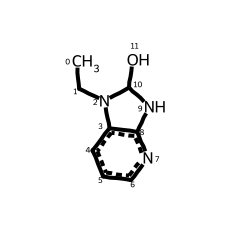 CCN1c2cccnc2NC1O